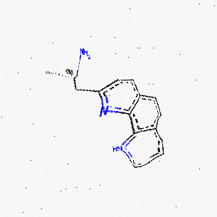 C[C@H](N)Cc1ccc2ccc3cc[nH]c3c2n1